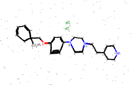 Cl.Cl.O=C(O)C1(COc2ccc(N3CCN(CCC4CCNCC4)CC3)cc2)C=CC=CC1